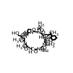 CC[C@H](C)[C@@H]1NC(=O)CNC(=O)[C@H](C)NC(=O)[C@H]([C@@H](C)[C@@H](O)CO)NC(=O)[C@@H]2CCCN2C(=O)[C@H](CC(N)=O)NC(=O)C(Cc2[nH]c3ccccc3c2C)NC(=O)C(C)(C)NC1=O